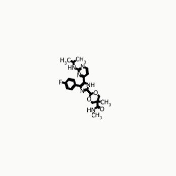 CNC(=O)C1(C)COC(c2nc(-c3ccc(F)cc3)c(-c3ccnc(NC(C)C)n3)[nH]2)OC1